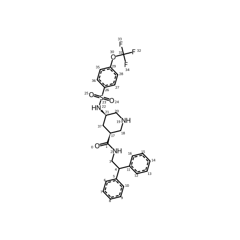 O=C(NCC(c1ccccc1)c1ccccc1)[C@@H]1CNC[C@H](NS(=O)(=O)c2ccc(OC(F)(F)F)cc2)C1